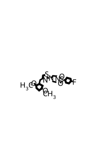 COc1ccc(OC)c(Cc2csc(N3CCN(S(=O)(=O)c4ccc(F)cc4)CC3)n2)c1